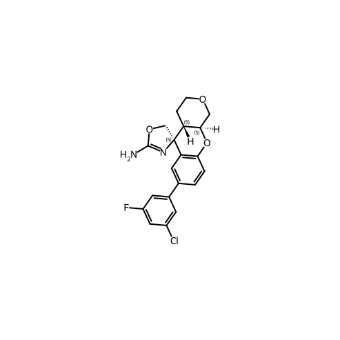 NC1=N[C@]2(CO1)c1cc(-c3cc(F)cc(Cl)c3)ccc1O[C@@H]1COCC[C@H]12